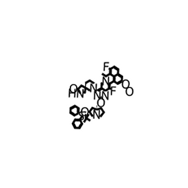 CCc1c(F)ccc2cc(OCOC)cc(-c3ncc4c(N5CCC[C@]6(CNC(=O)C6)C5)nc(OC[C@]56CCCN5C[C@@H](O[Si](c5ccccc5)(c5ccccc5)C(C)(C)C)C6)nc4c3F)c12